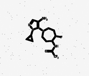 Nc1cnn(C2CC2)c1N1CCC(F)C(NC(=O)C(F)(F)F)CC1